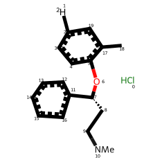 Cl.[2H]c1ccc(O[C@H](CCNC)c2ccccc2)c(C)c1